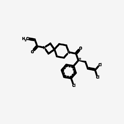 C=CC(=O)N1CC2(CCN(C(=O)[C@@H](CC=C(Cl)Cl)c3cccc(Cl)c3)CC2)C1